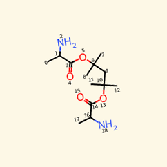 CC(N)C(=O)OC(C)(C)CC(C)(C)OC(=O)C(C)N